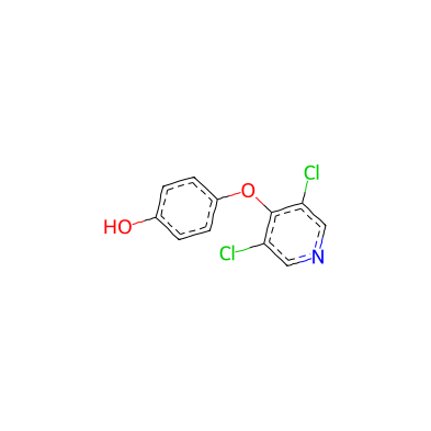 Oc1ccc(Oc2c(Cl)cncc2Cl)cc1